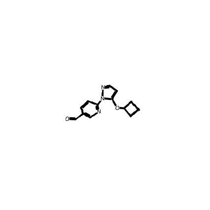 O=Cc1ccc(-n2nccc2OC2CCC2)nc1